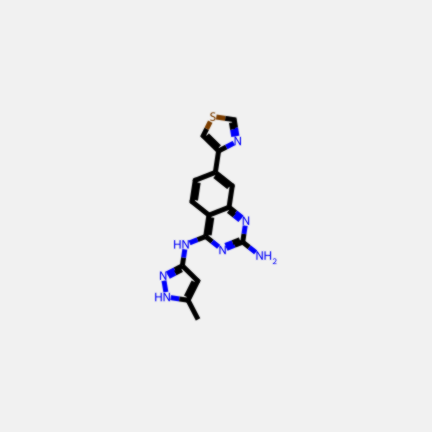 Cc1cc(Nc2nc(N)nc3cc(-c4cscn4)ccc23)n[nH]1